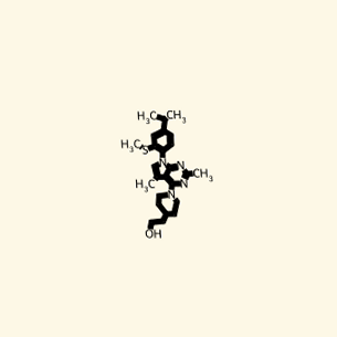 CSc1cc(C(C)C)ccc1-n1cc(C)c2c(N3CCC(CCO)CC3)nc(C)nc21